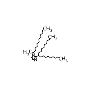 CCCCCCCCCCCC(C)n1ccnc1C(CCCCCCCCC)CCCCCCCCC